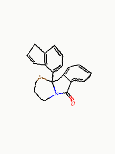 O=C1c2ccccc2C2(c3cccc4c3C=CC4)SCCCN12